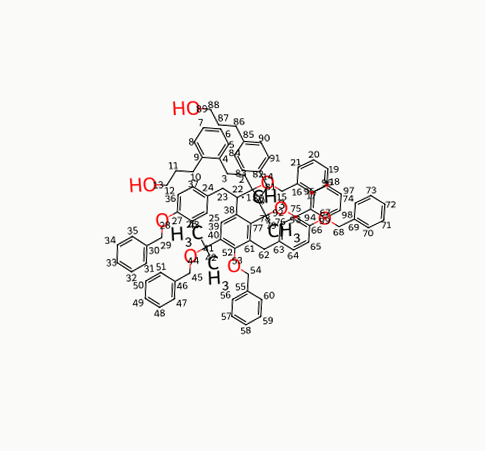 CC(CCc1ccccc1CCCO)(OCc1ccccc1)[C](Cc1ccc(OCc2ccccc2)cc1)c1cc(C(C)(C)OCc2ccccc2)c(OCc2ccccc2)c(Cc2ccc(OCc3ccccc3)cc2)c1C(C)(CCc1ccc(CCCO)cc1)OCc1ccccc1